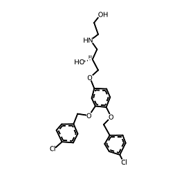 OCCNC[C@@H](O)COc1ccc(OCc2ccc(Cl)cc2)c(OCc2ccc(Cl)cc2)c1